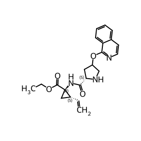 C=C[C@@H]1C[C@]1(NC(=O)[C@@H]1CC(Oc2nccc3ccccc23)CN1)C(=O)OCC